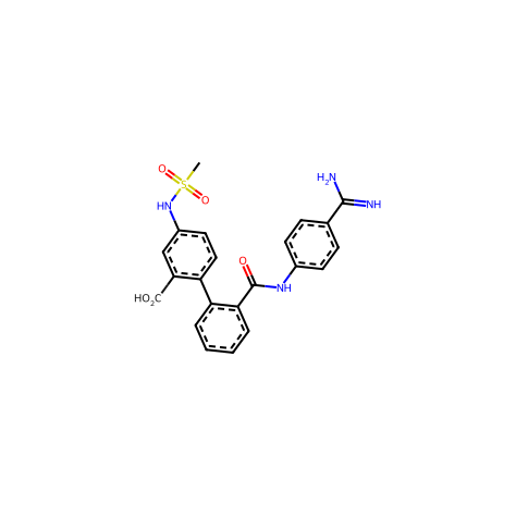 CS(=O)(=O)Nc1ccc(-c2ccccc2C(=O)Nc2ccc(C(=N)N)cc2)c(C(=O)O)c1